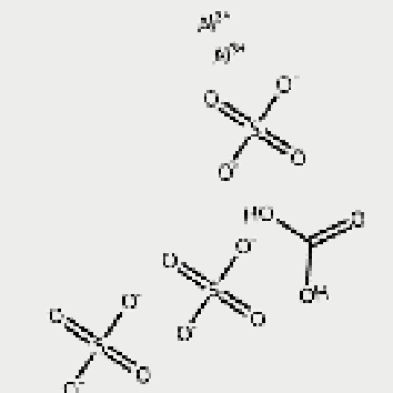 O=C(O)O.O=S(=O)([O-])[O-].O=S(=O)([O-])[O-].O=S(=O)([O-])[O-].[Al+3].[Al+3]